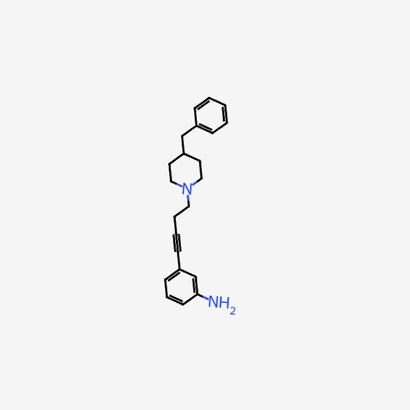 Nc1cccc(C#CCCN2CCC(Cc3ccccc3)CC2)c1